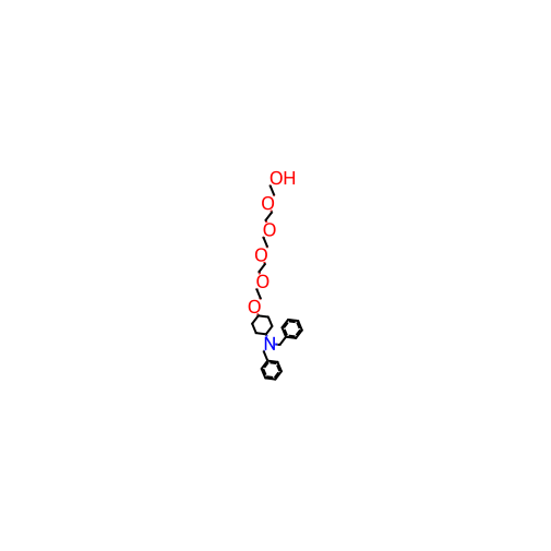 OCCOCCOCCOCCOCCOC1CCC(N(Cc2ccccc2)Cc2ccccc2)CC1